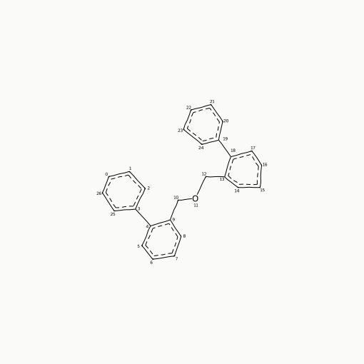 c1ccc(-c2ccccc2COCc2ccccc2-c2ccccc2)cc1